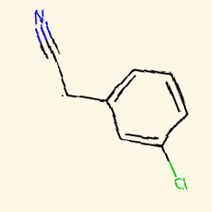 N#C[CH]c1cccc(Cl)c1